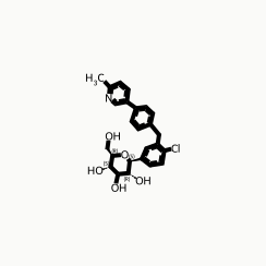 Cc1ccc(-c2ccc(Cc3cc([C@@H]4O[C@H](CO)[C@@H](O)C(O)[C@H]4O)ccc3Cl)cc2)cn1